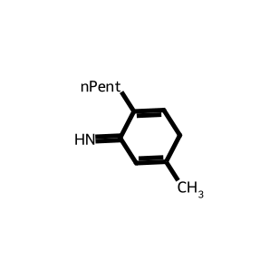 CCCCCC1=CCC(C)=CC1=N